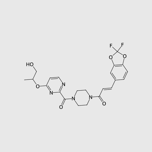 CC(CO)Oc1ccnc(C(=O)N2CCN(C(=O)C=Cc3ccc4c(c3)OC(F)(F)O4)CC2)n1